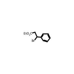 CCOC(=O)CC(Br)c1ccccc1